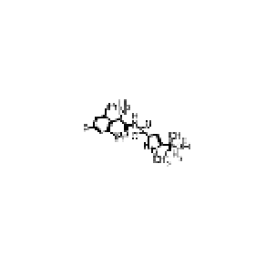 CC(C)c1cc(F)cc(C(C)C)c1C(N)C(=O)NS(=O)(=O)c1cc(C(C)(C)O)n(C)n1